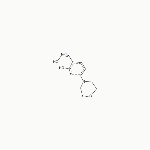 O/N=C\c1ccc(N2CCOCC2)cc1O